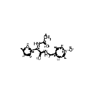 CC(=O)NC(C(=O)NCc1cc[n+]([O-])cc1)c1ccco1